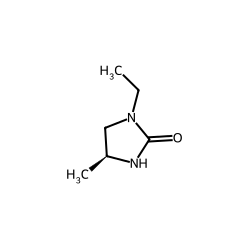 CCN1C[C@H](C)NC1=O